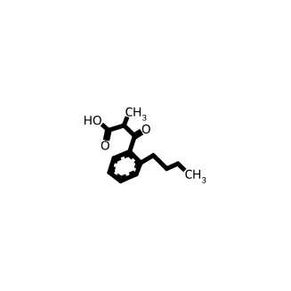 CCCCc1ccccc1C(=O)C(C)C(=O)O